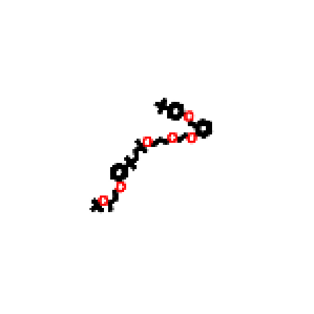 CC(CCOc1cccc(C(C)(C)CCC(C)(C)OCCCOCCOc2ccccc2COc2ccc(C(C)(C)C)cc2)c1)OC(C)(C)C